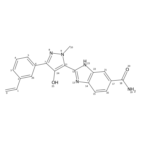 C=Cc1cccc(-c2nn(C)c(-c3nc4ccc(C(N)=O)cc4[nH]3)c2O)c1